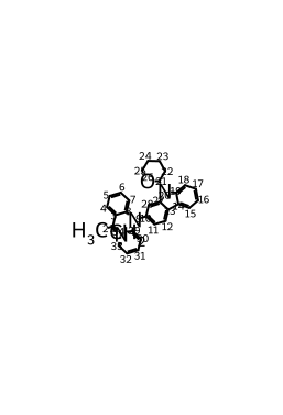 C=C(C)c1ccccc1N(c1ccc2c3ccccc3n(C3CCCCO3)c2c1)c1ccccn1